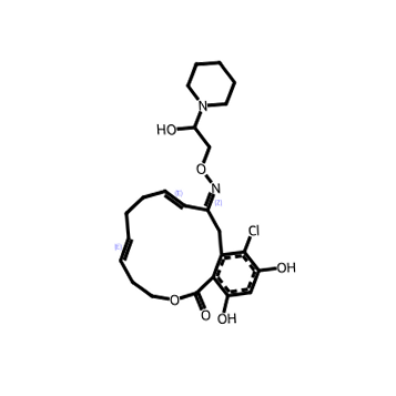 O=C1OCC/C=C/CC/C=C/C(=N\OCC(O)N2CCCCC2)Cc2c(Cl)c(O)cc(O)c21